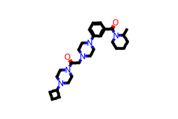 CC1CCCCN1C(=O)c1cccc(N2CCN(CC(=O)N3CCN(C4CCC4)CC3)CC2)c1